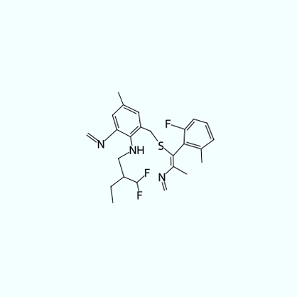 C=N/C(C)=C(\SCc1cc(C)cc(N=C)c1NCC(CC)C(F)F)c1c(C)cccc1F